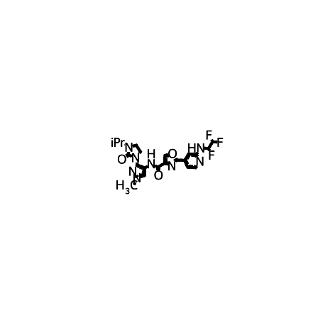 CC(C)N1CCN(c2nn(C)cc2NC(=O)c2coc(-c3ccnc(NC(F)C(F)F)c3)n2)C1=O